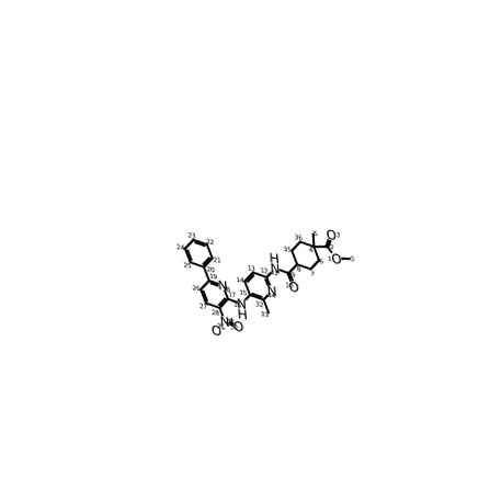 COC(=O)C1(C)CCC(C(=O)Nc2ccc(Nc3nc(-c4ccccc4)ccc3[N+](=O)[O-])c(C)n2)CC1